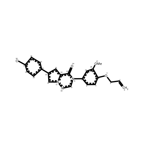 C=CCOc1ccc(-n2cnn3cc(-c4ccc(Cl)cc4)cc3c2=O)cc1OC